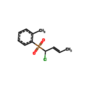 C/C=C/C(Cl)S(=O)(=O)c1ccccc1C